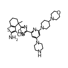 CC1(c2nc(-c3cc(N4CCNCC4)cc(N4CCC(N5CCOCC5)CC4)n3)no2)CCCc2sc(N)c(C#N)c21